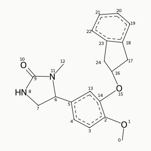 COc1ccc(C2CNC(=O)N2C)cc1OC1Cc2ccccc2C1